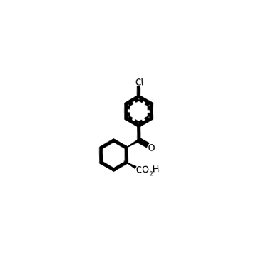 O=C(O)[C@H]1CCCC[C@H]1C(=O)c1ccc(Cl)cc1